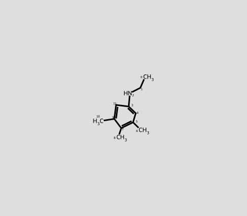 CCNc1cc(C)c(C)c(C)c1